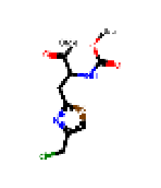 COC(=O)C(Cc1nc(CCl)cs1)NC(=O)OC(C)(C)C